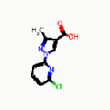 Cc1nn(-c2cccc(Cl)n2)cc1C(=O)O